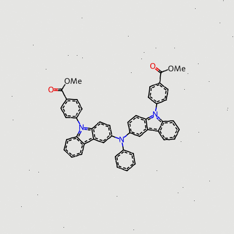 COC(=O)c1ccc(-n2c3ccccc3c3cc(N(c4ccccc4)c4ccc5c(c4)c4ccccc4n5-c4ccc(C(=O)OC)cc4)ccc32)cc1